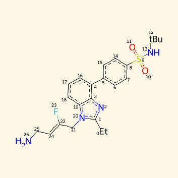 CCc1nc2c(-c3ccc(S(=O)(=O)NC(C)(C)C)cc3)cccc2n1CC(F)=CCN